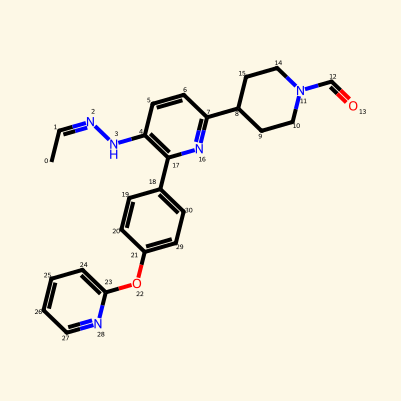 C/C=N\Nc1ccc(C2CCN(C=O)CC2)nc1-c1ccc(Oc2ccccn2)cc1